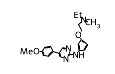 CCN(C)CCOc1cccc(Nc2ncc(-c3ccc(OC)cc3)cn2)c1